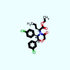 CCC[C@@H](C(=O)OCC)N1C(=O)CO[C@@H](c2cccc(Cl)c2)[C@H]1c1ccc(Cl)cc1